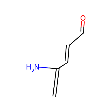 C=C(N)C=CC=O